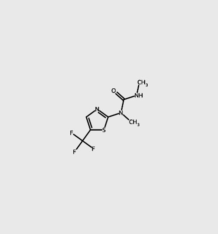 CNC(=O)N(C)c1ncc(C(F)(F)F)s1